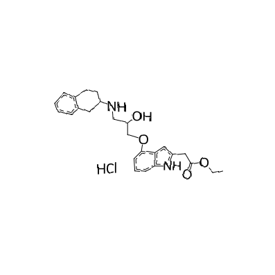 CCOC(=O)Cc1cc2c(OCC(O)CNC3CCc4ccccc4C3)cccc2[nH]1.Cl